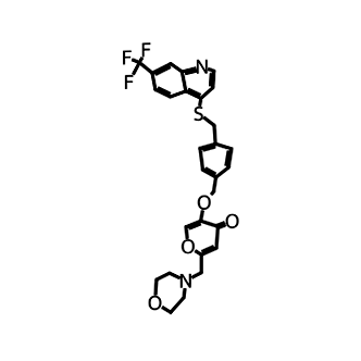 O=c1cc(CN2CCOCC2)occ1OCc1ccc(CSc2ccnc3cc(C(F)(F)F)ccc23)cc1